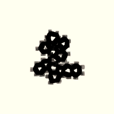 c1ccc([Si]2(c3ccccc3)c3ccccc3N3c4cc5ccccc5c5c4B(c4cccc2c43)n2c3cc4ccccc4cc3c3cccc-5c32)cc1